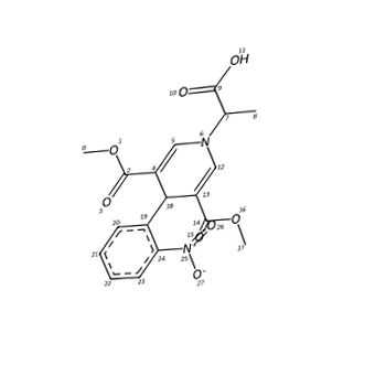 COC(=O)C1=CN(C(C)C(=O)O)C=C(C(=O)OC)C1c1ccccc1[N+](=O)[O-]